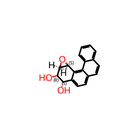 O[C@H]1[C@H]2O[C@H]2c2c(ccc3ccc4ccccc4c23)[C@@H]1O